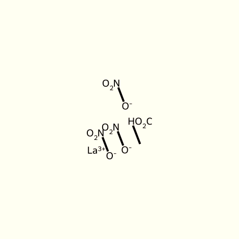 CC(=O)O.O=[N+]([O-])[O-].O=[N+]([O-])[O-].O=[N+]([O-])[O-].[La+3]